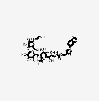 C[C@H]1C([C@H](O)[C@H](O)CNC(=O)OCc2cn(-c3ccc4scnc4c3)nn2)O[C@@](OCC2O[C@@H](O[C@@H]3C(CO)O[C@@H](OCCN)C(O)[C@@H]3O)C(O)[C@@H](O)[C@H]2O)(C(=O)O)C[C@H]1O